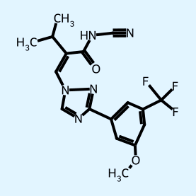 COc1cc(-c2ncn(C=C(C(=O)NC#N)C(C)C)n2)cc(C(F)(F)F)c1